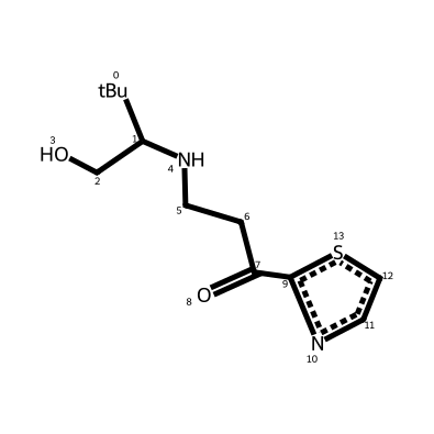 CC(C)(C)C(CO)NCCC(=O)c1nccs1